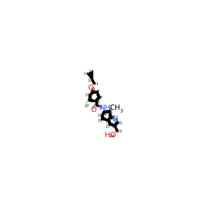 Cc1c(NC(=O)c2ccc(OCC3CC3)cc2F)ccc2cc(CO)cnc12